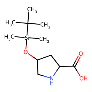 CC(C)(C)[Si](C)(C)OC1CNC(C(=O)O)C1